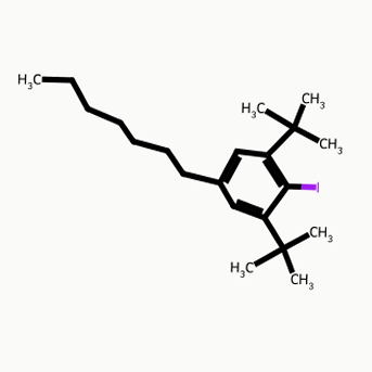 CCCCCCCc1cc(C(C)(C)C)c(I)c(C(C)(C)C)c1